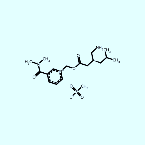 CC(C)C[C@H](CN)CC(=O)OC[n+]1cccc(C(=O)N(C)C)c1.CS(=O)(=O)[O-]